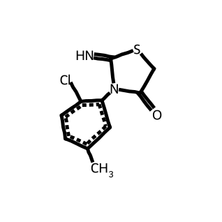 Cc1ccc(Cl)c(N2C(=N)SCC2=O)c1